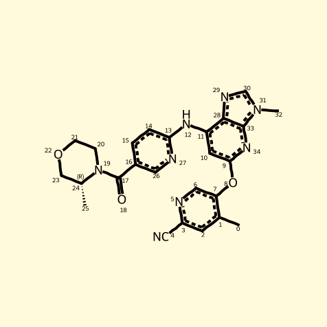 Cc1cc(C#N)ncc1Oc1cc(Nc2ccc(C(=O)N3CCOC[C@H]3C)cn2)c2ncn(C)c2n1